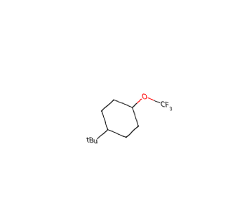 CC(C)(C)C1CCC(OC(F)(F)F)CC1